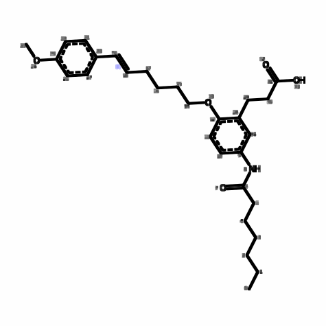 CCCCCCC(=O)Nc1ccc(OCCCC/C=C/c2ccc(OC)cc2)c(CCC(=O)O)c1